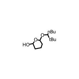 CCCCC(OC1CCCC(O)O1)C(C)(C)C